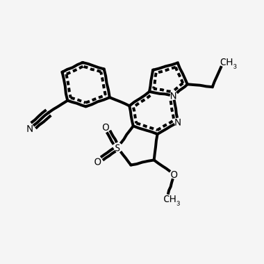 CCc1ccc2c(-c3cccc(C#N)c3)c3c(nn12)C(OC)CS3(=O)=O